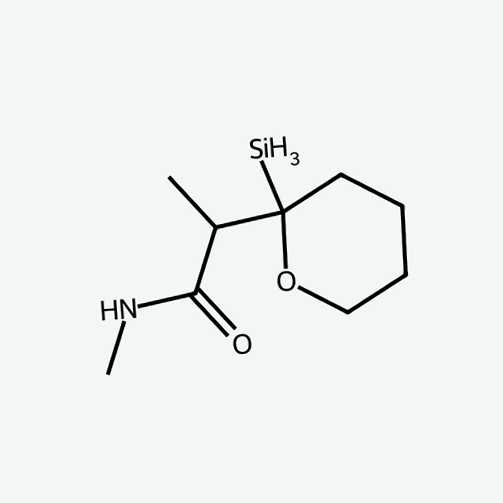 CNC(=O)C(C)C1([SiH3])CCCCO1